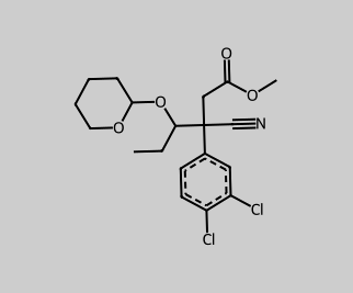 CCC(OC1CCCCO1)C(C#N)(CC(=O)OC)c1ccc(Cl)c(Cl)c1